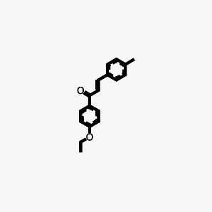 CCOc1ccc(C(=O)C=Cc2ccc(C)cc2)cc1